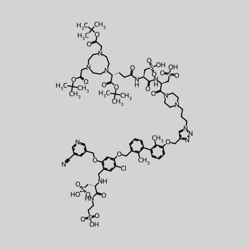 Cc1c(COc2cc(OCc3cncc(C#N)c3)c(CN[C@@H](CS(=O)(=O)O)C(=O)NCCS(=O)(=O)O)cc2Cl)cccc1-c1cccc(OCc2cn(CCCN3CCN(C(=O)[C@H](CS(=O)(=O)O)NC(=O)[C@H](CS(=O)(=O)O)NC(=O)CC[C@H](C(=O)OC(C)(C)C)N4CCN(CC(=O)OC(C)(C)C)CCN(CC(=O)OC(C)(C)C)CC4)CC3)nn2)c1C